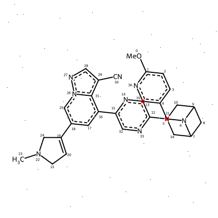 COc1ccc(CN2C3CC2CN(c2cnc(-c4cc(C5=CCN(C)C5)cn5ncc(C#N)c45)cn2)C3)cn1